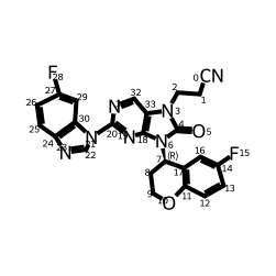 N#CCCn1c(=O)n([C@@H]2CCOc3ccc(F)cc32)c2nc(-n3cnc4ccc(F)cc43)ncc21